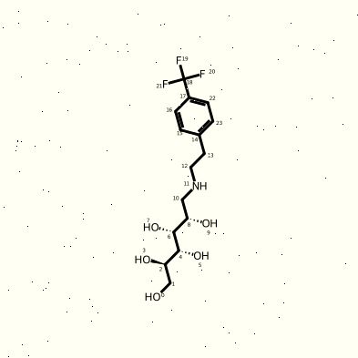 OC[C@@H](O)[C@@H](O)[C@H](O)[C@@H](O)CNCCc1ccc(C(F)(F)F)cc1